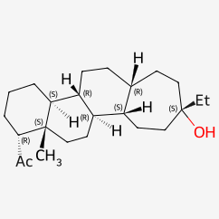 CC[C@]1(O)CC[C@H]2CC[C@@H]3[C@H](CC[C@]4(C)[C@H](C(C)=O)CCC[C@@H]34)[C@H]2CC1